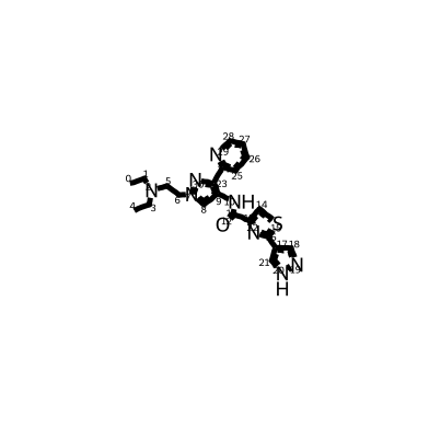 CCN(CC)CCn1cc(NC(=O)c2csc(-c3cn[nH]c3)n2)c(-c2ccccn2)n1